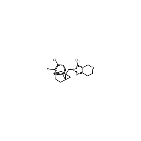 FC(F)(F)c1c2c(nn1CC13CNCCC1(c1ccc(Cl)c(Cl)c1)C3)CCOC2